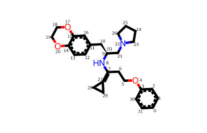 c1ccc(OCCC(N[C@@H](Cc2ccc3c(c2)OCCO3)CN2CCCC2)=C2CC2)cc1